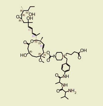 CC[C@H](O)[C@@H](C)[C@H]1O[C@@H]1CC(C)(O)/C=C/C=C(\C)[C@H]1OC(=O)C[C@H](O)CC[C@@](C)(OC)[C@@H](OC(=O)N2CC[N+](CCCC(=O)O)(Cc3ccc(NC(=O)C(C)NC(=O)C(N)C(C)C)cc3)CC2)/C=C/[C@@H]1C